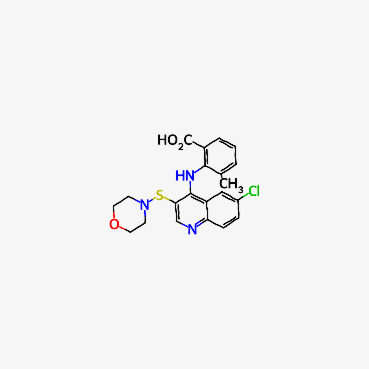 Cc1cccc(C(=O)O)c1Nc1c(SN2CCOCC2)cnc2ccc(Cl)cc12